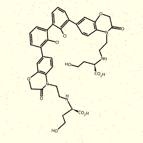 O=C(O)[C@@H](CCO)NCCN1C(=O)COc2cc(-c3cccc(-c4cccc(-c5ccc6c(c5)OCC(=O)N6CCN[C@H](CCO)C(=O)O)c4Cl)c3Cl)ccc21